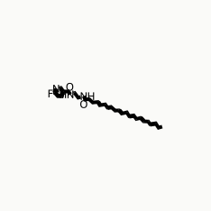 CCC=CCC=CCC=CCC=CCC=CCC=CCCC(=O)NCCNC(=O)c1ccc(F)nc1